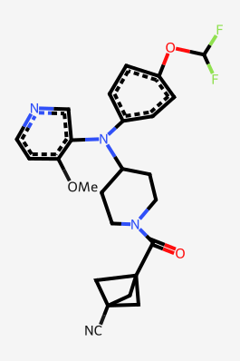 COc1ccncc1N(c1ccc(OC(F)F)cc1)C1CCN(C(=O)C23CC(C#N)(C2)C3)CC1